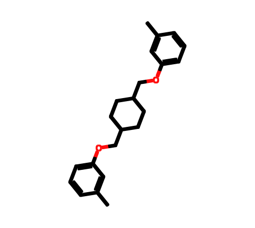 Cc1cccc(OCC2CCC(COc3cccc(C)c3)CC2)c1